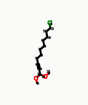 COC(C#CCCCCCCCCCl)OC